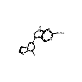 CNc1ncc2c(-c3cc(F)c4nccn4c3)c[nH]c2n1